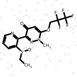 CC[S+]([O-])c1cccnc1-c1nn(C)c(OCC(F)(F)C(F)(F)F)cc1=O